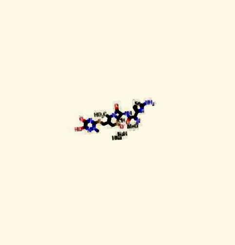 CO/N=C(\C(=O)N[C@@H]1C(=O)N2C(C(=O)O)=C(CSc3nc(=O)c(O)nn3C)C[S+]([O-])[C@H]12)c1c[se]c(N)n1.[NaH].[NaH]